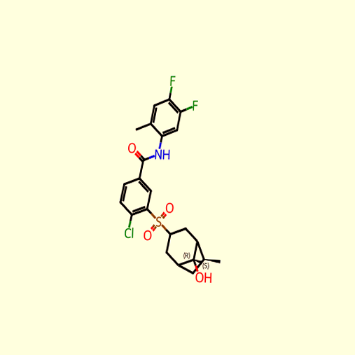 Cc1cc(F)c(F)cc1NC(=O)c1ccc(Cl)c(S(=O)(=O)C2CC3C[C@H](C)C(C2)[C@]3(C)O)c1